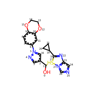 OC(c1cnn(-c2ccc3c(c2)OCCO3)c1)[SH]1C(C2CC2)=Nc2cncn21